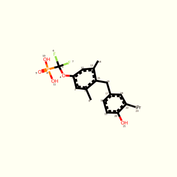 Cc1cc(OC(F)(F)P(=O)(O)O)cc(C)c1Cc1ccc(O)c(C(C)C)c1